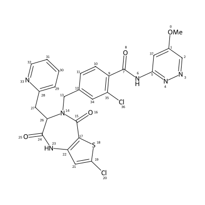 COc1cnnc(NC(=O)c2ccc(CN3C(=O)c4sc(Cl)cc4NC(=O)C3Cc3ccccn3)cc2Cl)c1